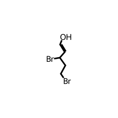 OC=CC(Br)CCBr